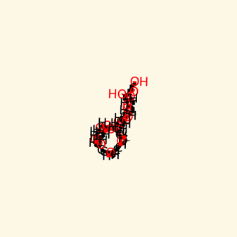 C=C1C[C@@H]2CC[C@@]34C[C@H]5O[C@@H]6[C@@H](C[C@H]7CC[C@H](CC(=O)O[C@@H]8[C@@H](C)[C@@H]9O[C@@H]%10C[C@]%11(C[C@@H]%12O[C@]%13(C[C@H](C)[C@@H]%14O[C@H](CC(=O)CCO)[C@H](O)C[C@@H]%14O%13)C[C@H](C)[C@@H]%12O%11)O[C@@H]%10C[C@@H]9O[C@H]8C[C@H]8O[C@@H](CC[C@@H]1O2)C[C@@H](C)C8=C)O[C@@H]7[C@@H]6O3)[C@@H]5O4